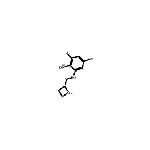 Cc1cc(Br)cc(NC[C@@H]2CCO2)c1N=O